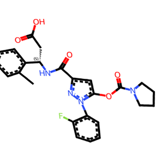 Cc1ccccc1[C@H](CC(=O)O)NC(=O)c1cc(OC(=O)N2CCCC2)n(-c2ccccc2F)n1